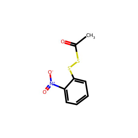 CC(=O)SSc1ccccc1[N+](=O)[O-]